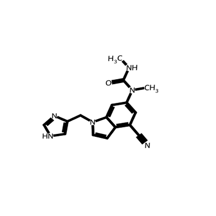 CNC(=O)N(C)c1cc(C#N)c2ccn(Cc3c[nH]cn3)c2c1